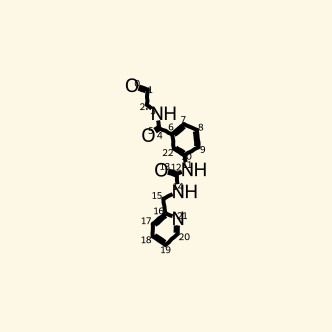 O=C[CH]NC(=O)c1cccc(NC(=O)NCc2ccccn2)c1